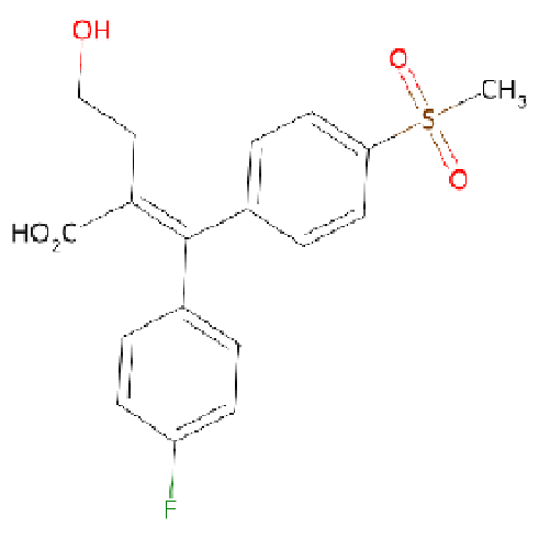 CS(=O)(=O)c1ccc(/C(=C(\CCO)C(=O)O)c2ccc(F)cc2)cc1